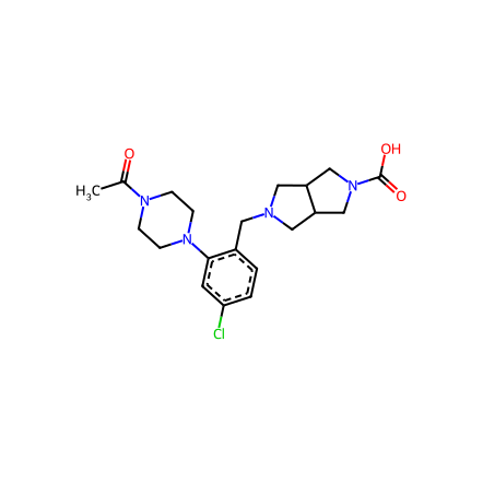 CC(=O)N1CCN(c2cc(Cl)ccc2CN2CC3CN(C(=O)O)CC3C2)CC1